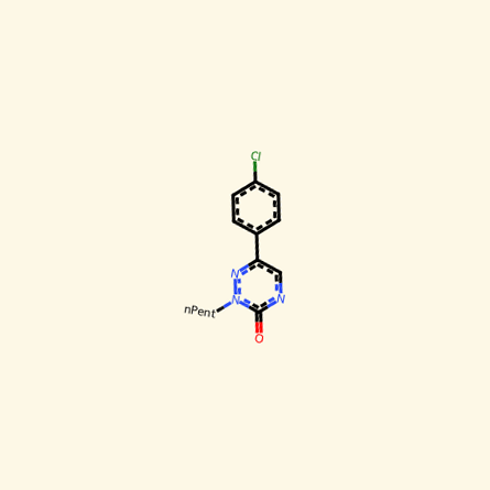 CCCCCn1nc(-c2ccc(Cl)cc2)cnc1=O